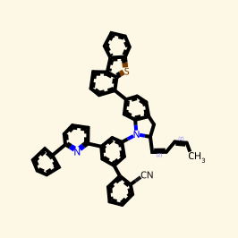 C/C=C\C=C/C1Cc2ccc(-c3cccc4c3sc3ccccc34)cc2N1c1cc(-c2cccc(-c3ccccc3)n2)cc(-c2ccccc2C#N)c1